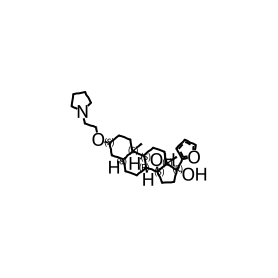 C[C@]12CC[C@H](OCCN3CCCC3)C[C@@H]1CC[C@@H]1[C@@H]2CC[C@]2(C)[C@@](O)(c3ccco3)CC[C@]12O